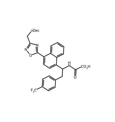 CCCCCCCCCCCc1noc(-c2ccc(C(Cc3ccc(C(F)(F)F)cc3)NC(=O)C(=O)O)c3ccccc23)n1